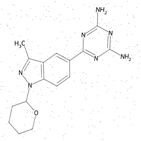 Cc1nn(C2CCCCO2)c2ccc(-c3nc(N)nc(N)n3)cc12